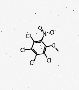 COc1c(Cl)c(Cl)c(Cl)c(Cl)c1[N+](=O)[O-]